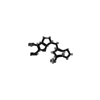 COc1sc2c(c1C)CCC2Cc1sc(C(F)(F)F)c2c1CCC2